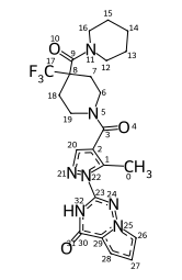 Cc1c(C(=O)N2CCC(C(=O)N3CCCCC3)(C(F)(F)F)CC2)cnn1-c1nn2cccc2c(=O)[nH]1